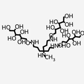 CNC(CCCNOCC(O)C(O)C(O)C(O)CO)(CCCNOCC(O)C(O)C(O)C(O)CO)CCCNOCC(O)C(O)C(O)C(O)CO